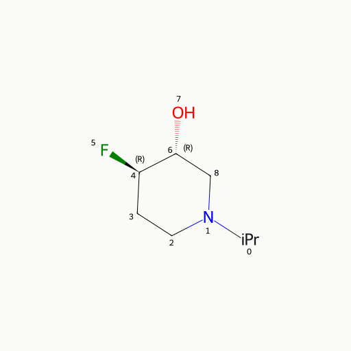 CC(C)N1CC[C@@H](F)[C@H](O)C1